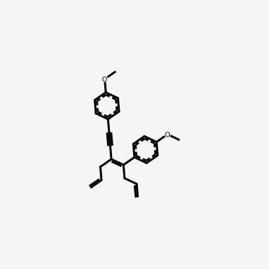 C=CCC(C#Cc1ccc(OC)cc1)=C(CC=C)c1ccc(OC)cc1